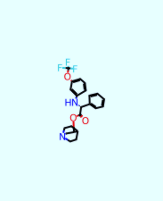 O=C(OC1CN2CCC1CC2)[C@H](Nc1cccc(OC(F)(F)F)c1)c1ccccc1